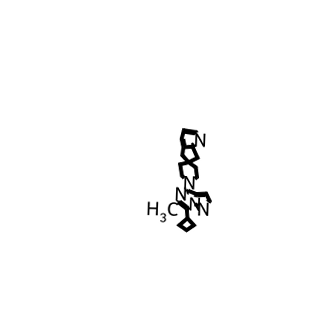 Cc1nc(N2CCC3(CC2)Cc2cccnc2C3)c2ccnn2c1C1CCC1